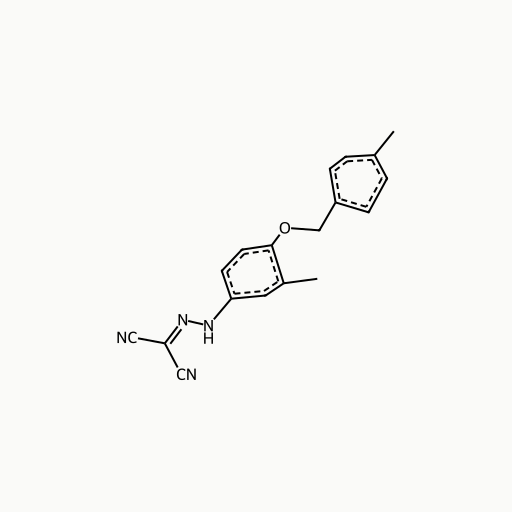 Cc1ccc(COc2ccc(NN=C(C#N)C#N)cc2C)cc1